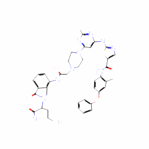 Cc1nc(Nc2ncc(C(=O)Nc3ccc(Oc4ccccc4)cc3C)s2)cc(N2CCN(CC(=O)Nc3cccc4c3CN(C(CCC=O)C(N)=O)C4=O)CC2)n1